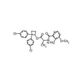 COc1ccnc(C(=O)N[C@@H](C)C(=O)OC2CCC2(c2ccc(Cl)cc2)c2ccc(Cl)cc2)c1O